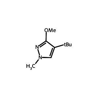 COc1nn(C)cc1C(C)(C)C